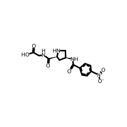 O=C(O)CNC(=O)[C@@H]1C[C@H](NC(=O)c2ccc([N+](=O)[O-])cc2)CN1